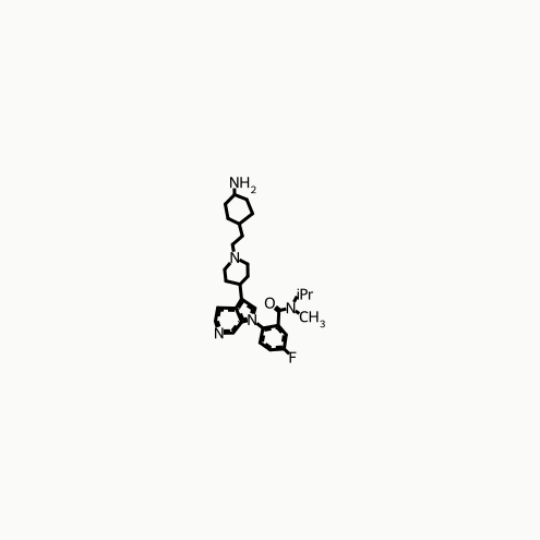 CC(C)N(C)C(=O)c1cc(F)ccc1-n1cc(C2CCN(CCC3CCC(N)CC3)CC2)c2ccncc21